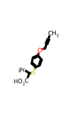 CC#CCOc1ccc(SC(C(=O)O)C(C)C)cc1